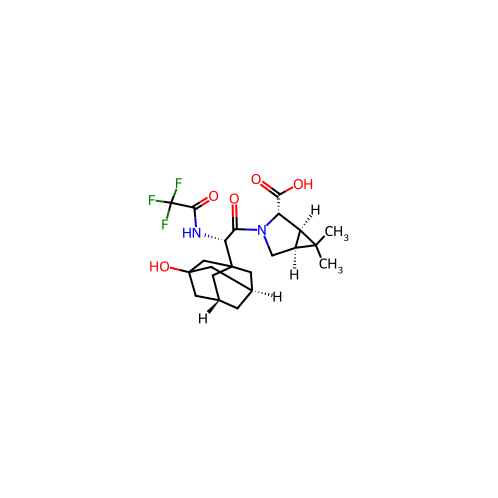 CC1(C)[C@@H]2[C@@H](C(=O)O)N(C(=O)[C@@H](NC(=O)C(F)(F)F)C34C[C@@H]5C[C@@H](CC(O)(C5)C3)C4)C[C@@H]21